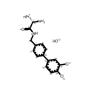 CCC[C@H](N)C(=O)NCc1ccc(-c2ccc(Cl)c(Cl)c2)cc1.Cl